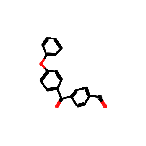 O=[As]c1ccc(C(=O)c2ccc(Oc3ccccc3)cc2)cc1